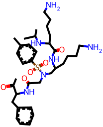 CC(=O)C(Cc1ccccc1)NC(=O)CN(CC(CCCCN)NC(=O)C(CCCCN)NC(C)C)S(=O)(=O)c1ccc(C)cc1